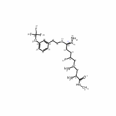 CNC(=O)C(N)CN(N)CC(F)CC/C(=N/N)SCCc1cccc(OC(F)(F)F)c1